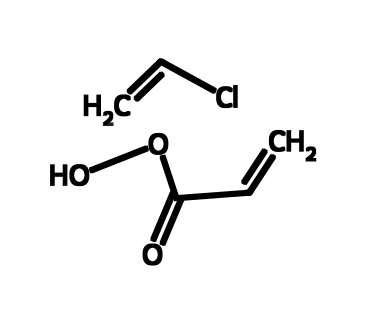 C=CC(=O)OO.C=CCl